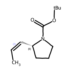 C/C=C\[C@H]1CCCN1C(=O)OC(C)(C)C